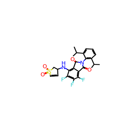 CC(C)c1cccc(C(C)C)c1N1C(=O)c2c(F)c(F)c(F)c(NC3C=CS(=O)(=O)C3)c2C1=O